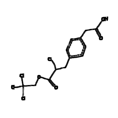 O=C(O)Cc1ccc(CC(Cl)C(=O)OCC(Cl)(Cl)Cl)cc1